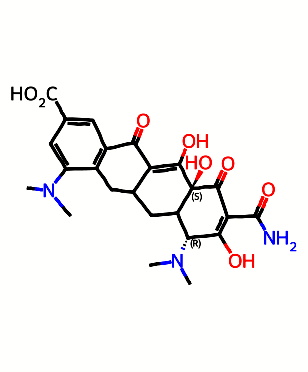 CN(C)c1cc(C(=O)O)cc2c1CC1CC3[C@@H](N(C)C)C(O)=C(C(N)=O)C(=O)[C@@]3(O)C(O)=C1C2=O